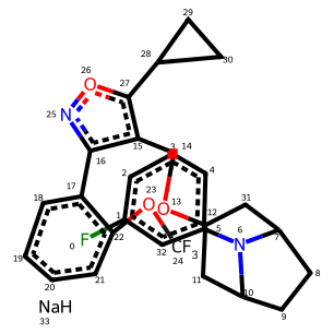 Fc1cccc(N2C3CCC2CC(OCc2c(-c4ccccc4OC(F)(F)F)noc2C2CC2)C3)c1.[NaH]